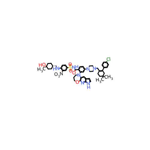 CC1(C)CCC(CN2CCN(c3ccc(C(=O)NS(=O)(=O)c4ccc(NC[C@H]5CC[C@@](C)(O)CC5)c([N+](=O)[O-])c4)c(N4CCCOc5nc6[nH]ccc6cc54)c3)CC2)=C(c2ccc(Cl)cc2)C1